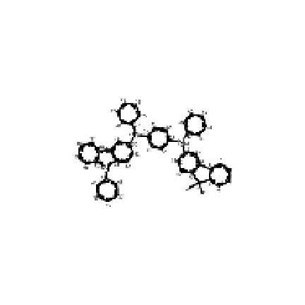 CC1(C)c2ccccc2-c2cc(N(c3ccccc3)c3ccc(N(c4ccccc4)c4ccc5c(c4)c4ccccc4n5-c4ccccc4)cc3)ccc21